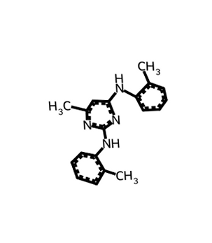 Cc1cc(Nc2ccccc2C)nc(Nc2ccccc2C)n1